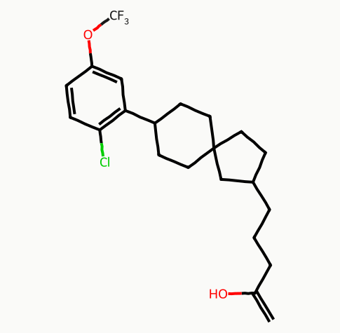 C=C(O)CCCC1CCC2(CCC(c3cc(OC(F)(F)F)ccc3Cl)CC2)C1